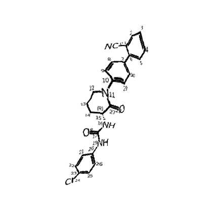 N#Cc1ccccc1-c1ccc(N2CCC[C@@H](NC(=O)Nc3ccc(Cl)cc3)C2=O)cc1